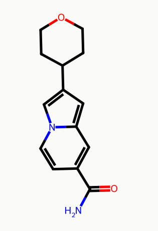 NC(=O)c1ccn2cc(C3CCOCC3)cc2c1